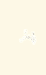 CC[C@@H]1CN(c2cc(=O)n(C)c3ccc(C#N)nc23)CCN1C(c1ccc(Cl)cc1)c1ccc(Cl)cc1